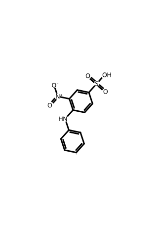 O=[N+]([O-])c1cc(S(=O)(=O)O)ccc1Nc1cc[c]cc1